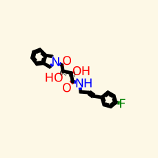 O=C(NCC#Cc1ccc(F)cc1)[C@H](O)[C@@H](O)C(=O)N1Cc2ccccc2C1